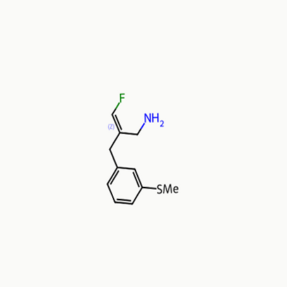 CSc1cccc(C/C(=C/F)CN)c1